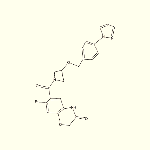 O=C1COc2cc(F)c(C(=O)N3CC(OCc4ccc(-n5cccn5)cc4)C3)cc2N1